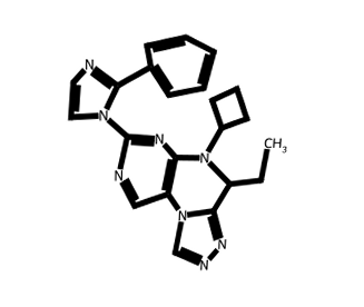 CCC1c2nncn2-c2cnc(-n3ccnc3-c3ccccc3)nc2N1C1CCC1